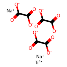 O=C([O-])C(=O)[O-].O=C([O-])C(=O)[O-].O=C([O-])C(=O)[O-].[Na+].[Na+].[Ti+4]